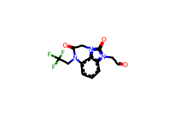 O=CCn1c(=O)n2c3c(cccc31)N(CC(F)(F)F)C(=O)C2